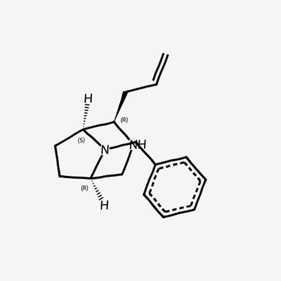 C=CC[C@H]1NC[C@H]2CC[C@@H]1N2Cc1ccccc1